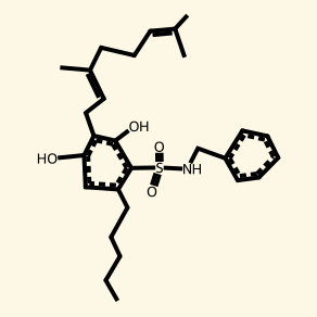 CCCCCc1cc(O)c(C/C=C(\C)CCC=C(C)C)c(O)c1S(=O)(=O)NCc1ccccc1